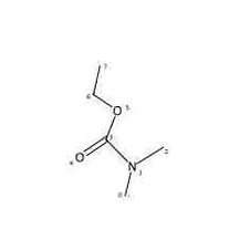 [CH2]N(C)C(=O)OCC